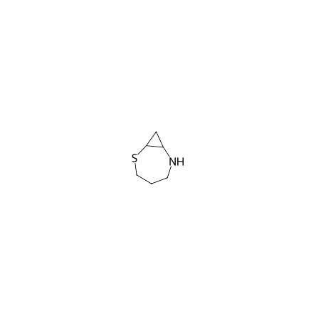 C1CNC2CC2SC1